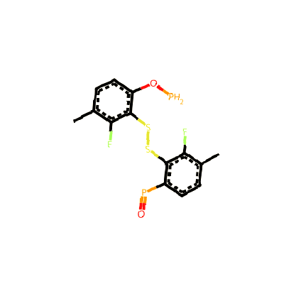 Cc1ccc(OP)c(SSc2c(P=O)ccc(C)c2F)c1F